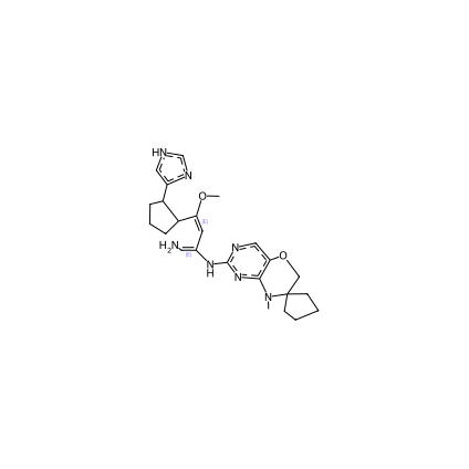 CO/C(=C/C(=C\N)Nc1ncc2c(n1)N(C)C1(CCCC1)CO2)C1CCCC1c1c[nH]cn1